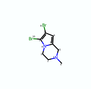 CN1CCn2c(cc(Br)c2Br)C1